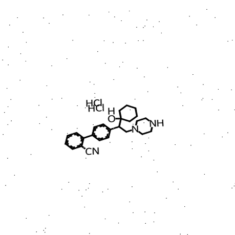 Cl.Cl.N#Cc1ccccc1-c1ccc(C(CN2CCNCC2)C2(O)CCCCC2)cc1